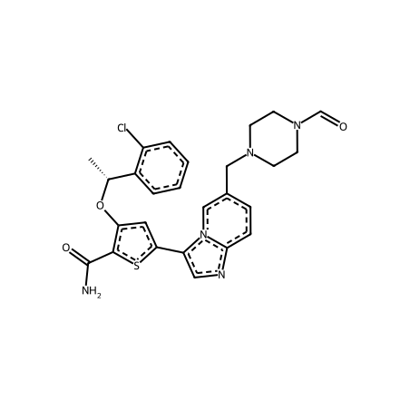 C[C@@H](Oc1cc(-c2cnc3ccc(CN4CCN(C=O)CC4)cn23)sc1C(N)=O)c1ccccc1Cl